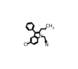 CCCc1c(-c2ccccc2)c2cc(Cl)ccc2n1CC#N